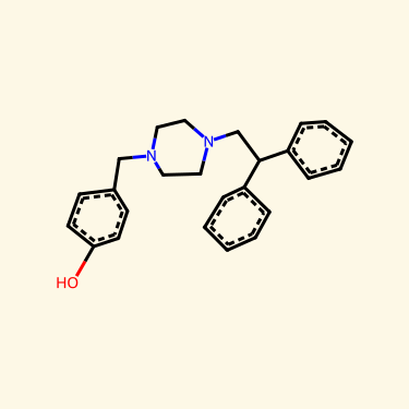 Oc1ccc(CN2CCN(CC(c3ccccc3)c3ccccc3)CC2)cc1